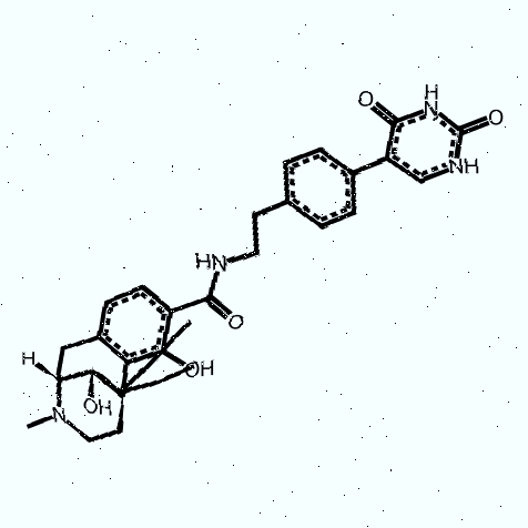 CN1CC[C@]23CC(C)(C)CC[C@@]2(O)[C@H]1Cc1ccc(C(=O)NCCc2ccc(-c4c[nH]c(=O)[nH]c4=O)cc2)c(O)c13